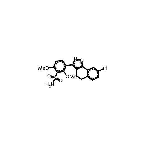 COc1ccc(-c2noc3c2CCc2ccc(Cl)cc2-3)c(OC)c1S(N)(=O)=O